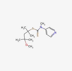 COC(C)(C)CC(C)(C)SC(=S)N(C)c1ccncc1